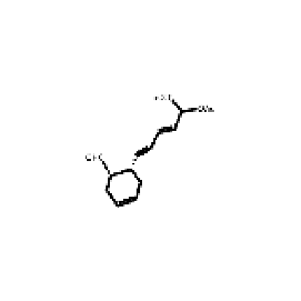 CCCCCCCCC(C=CC=C[C@@H]1CC=CC[C@H]1C=O)OC(C)=O